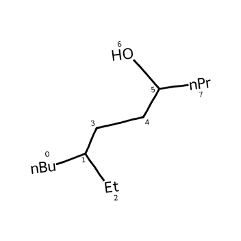 CCCCC(CC)CCC(O)CCC